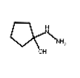 NNC1(O)CCCC1